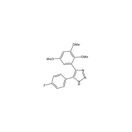 COc1cc(OC)c(OC)c(-c2nn[nH]c2-c2ccc(F)cc2)c1